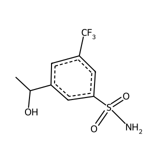 CC(O)c1cc(C(F)(F)F)cc(S(N)(=O)=O)c1